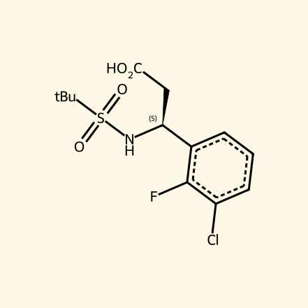 CC(C)(C)S(=O)(=O)N[C@@H](CC(=O)O)c1cccc(Cl)c1F